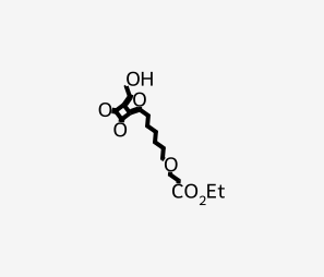 CCOC(=O)CCOCCCCCCc1oc(CO)c2c(=O)c(=O)c12